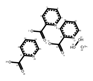 O=C([O-])c1ccccn1.O=C([O-])c1ccccn1.O=C([O-])c1ccccn1.OO.[Cr+3]